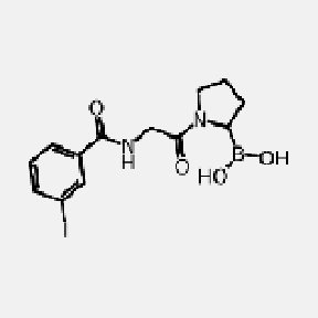 O=C(NCC(=O)N1CCCC1B(O)O)c1cccc(I)c1